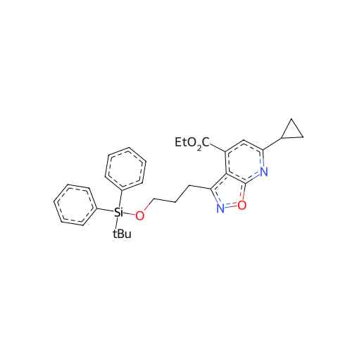 CCOC(=O)c1cc(C2CC2)nc2onc(CCCO[Si](c3ccccc3)(c3ccccc3)C(C)(C)C)c12